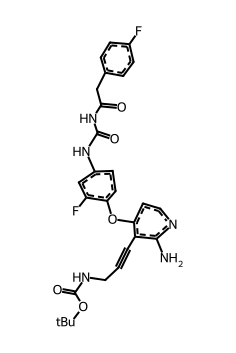 CC(C)(C)OC(=O)NCC#Cc1c(Oc2ccc(NC(=O)NC(=O)Cc3ccc(F)cc3)cc2F)ccnc1N